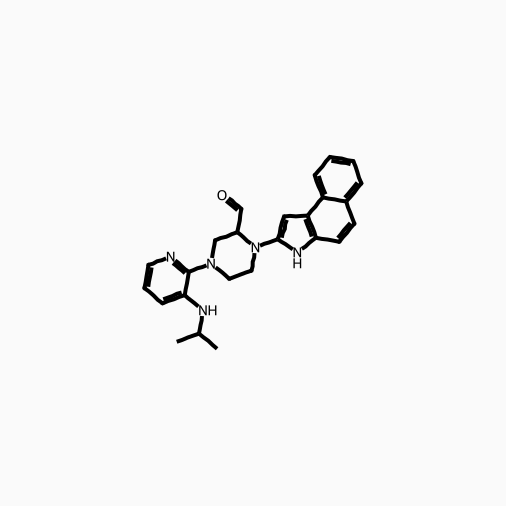 CC(C)Nc1cccnc1N1CCN(c2cc3c(ccc4ccccc43)[nH]2)C(C=O)C1